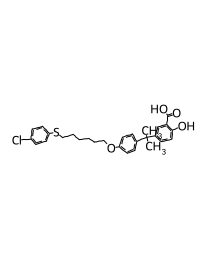 CC(C)(c1ccc(OCCCCCCSc2ccc(Cl)cc2)cc1)c1ccc(O)c(C(=O)O)c1